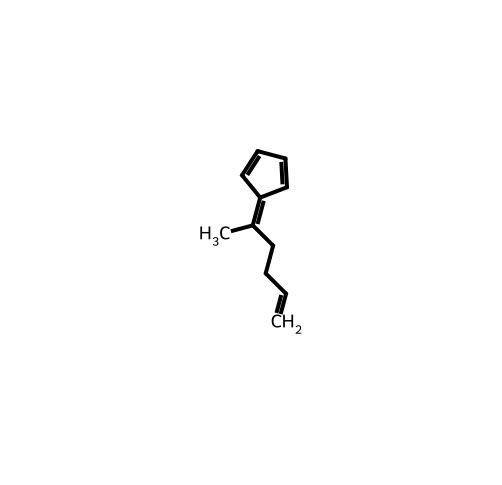 C=CCCC(C)=C1C=CC=C1